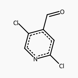 O=Cc1cc(Cl)ncc1Cl